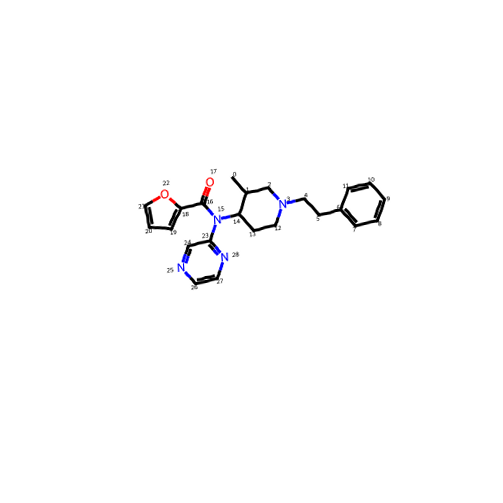 CC1CN(CCc2ccccc2)CCC1N(C(=O)c1ccco1)c1cnccn1